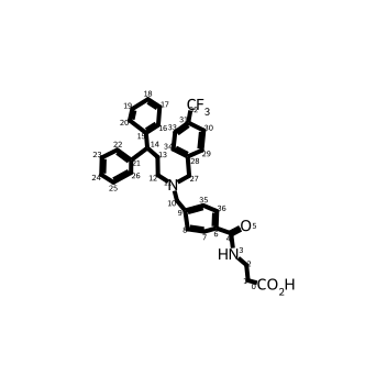 O=C(O)CCNC(=O)c1ccc(CN(CCC(c2ccccc2)c2ccccc2)Cc2ccc(C(F)(F)F)cc2)cc1